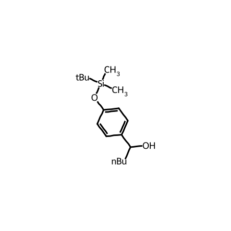 CCCCC(O)c1ccc(O[Si](C)(C)C(C)(C)C)cc1